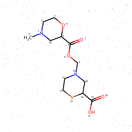 CN1CCOC(C(=O)OCN2CCSC(C(=O)O)C2)C1